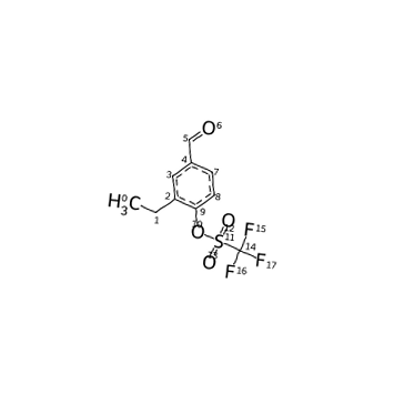 CCc1cc(C=O)ccc1OS(=O)(=O)C(F)(F)F